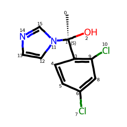 C[C@](O)(c1ccc(Cl)cc1Cl)n1ccnc1